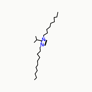 CCCCCCCCCCCN1C=CN(CCCCCCCCC)C1C(C)C